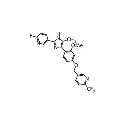 COc1cc(OCc2ccc(C(F)(F)F)nc2)ccc1-c1nc(-c2ccc(F)nc2)[nH]c1C